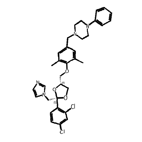 Cc1cc(CN2CCN(c3ccccc3)CC2)cc(C)c1OC[C@@H]1CO[C@@](Cn2ccnc2)(c2ccc(Cl)cc2Cl)O1